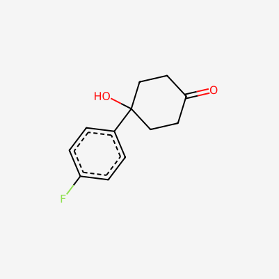 O=C1CCC(O)(c2ccc(F)cc2)CC1